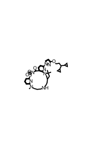 CN1CCCNCCC2CN(c3nc(-n4ccc(OCCC(C5CC5)C5CC5)n4)ccc3C(=O)NS(=O)(=O)c3cccc1n3)C(C)(C)C2